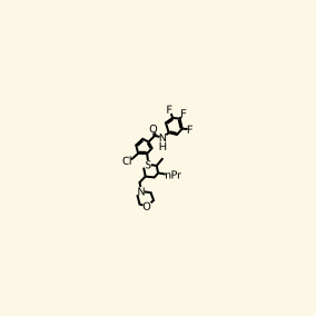 CCCC(CC(C)CN1CCOCC1)C(C)Sc1cc(C(=O)Nc2cc(F)c(F)c(F)c2)ccc1Cl